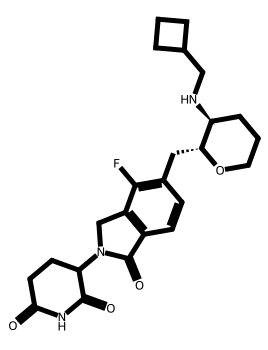 O=C1CCC(N2Cc3c(ccc(C[C@H]4OCCC[C@@H]4NCC4CCC4)c3F)C2=O)C(=O)N1